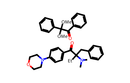 CCC(Cc1ccccc1)(C(=O)c1ccc(N2CCOCC2)cc1)N(C)C.COC(OC)(C(=O)c1ccccc1)c1ccccc1